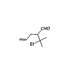 C=CCC(C=O)C(C)(C)CC